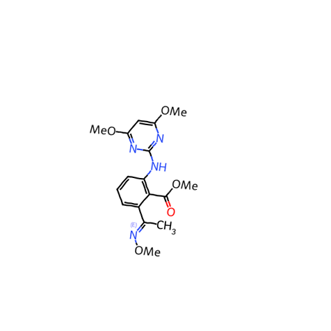 CO/N=C(\C)c1cccc(Nc2nc(OC)cc(OC)n2)c1C(=O)OC